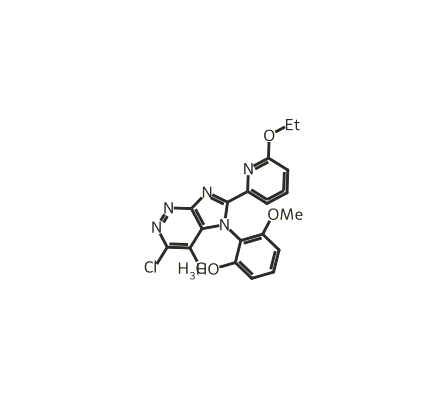 CCOC1=NC(c2nc3nnc(Cl)c(C)c3n2-c2c(O)cccc2OC)=C=C=C1